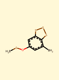 BSOc1cc(B)c2c(c1)SSS2